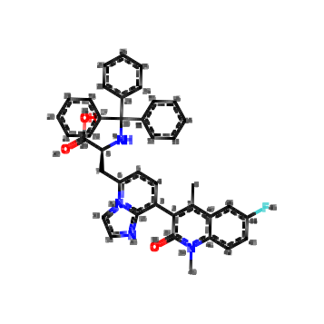 Cc1c(-c2ccc(C[C@H](NC(c3ccccc3)(c3ccccc3)c3ccccc3)C(=O)O)n3ccnc23)c(=O)n(C)c2ccc(F)cc12